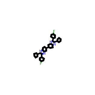 Fc1ccc(-c2nc3cc(-c4ccc5nc(-c6ccccc6)c(-c6ccc(F)cc6)nc5c4)ccc3nc2-c2ccccc2)cc1